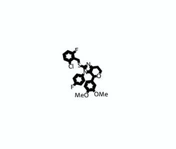 COc1ccc(C2OCCc3nc(SCc4c(F)cccc4Cl)n(-c4ccc(F)cc4)c32)cc1OC